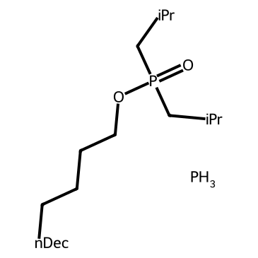 CCCCCCCCCCCCCCOP(=O)(CC(C)C)CC(C)C.P